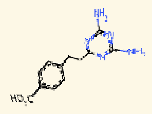 Nc1nc(N)nc(CCc2ccc(C(=O)O)cc2)n1